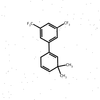 CC1(C)C=CCC(c2cc(C(F)(F)F)cc(C(F)(F)F)c2)=C1